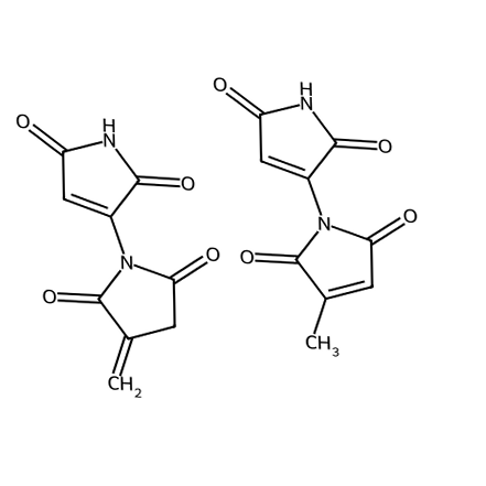 C=C1CC(=O)N(C2=CC(=O)NC2=O)C1=O.CC1=CC(=O)N(C2=CC(=O)NC2=O)C1=O